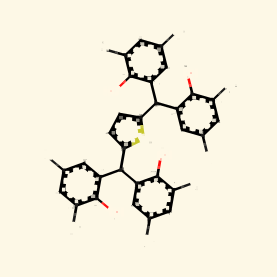 CC(C)(C)c1cc(C(c2ccc(C(c3cc(C(C)(C)C)cc(C(C)(C)C)c3O)c3cc(C(C)(C)C)cc(C(C)(C)C)c3O)s2)c2cc(C(C)(C)C)cc(C(C)(C)C)c2O)c(O)c(C(C)(C)C)c1